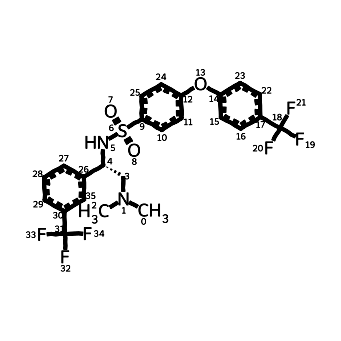 CN(C)C[C@@H](NS(=O)(=O)c1ccc(Oc2ccc(C(F)(F)F)cc2)cc1)c1cccc(C(F)(F)F)c1